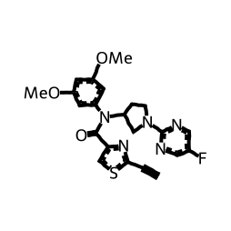 C#Cc1nc(C(=O)N(c2cc(OC)cc(OC)c2)C2CCN(c3ncc(F)cn3)C2)cs1